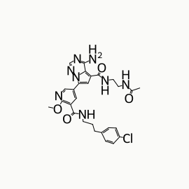 COc1ncc(-c2cc(C(=O)NCCNC(C)=O)c3c(N)ncnn23)cc1C(=O)NCCCc1ccc(Cl)cc1